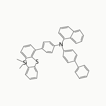 C[Si]1(C)c2ccccc2Sc2c(-c3ccc(N(c4ccc(-c5ccccc5)cc4)c4cccc5ccccc45)cc3)cccc21